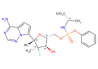 CCOC(=O)[C@H](C)NP(=O)(OC[C@H]1O[C@@](C#N)(c2ccc3c(N)ncnn23)[C@](C)(F)[C@@H]1O)Oc1ccccc1